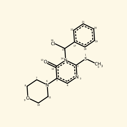 CSc1ncc(N2CCOCC2)c(=O)n1C(Cl)c1ccccc1